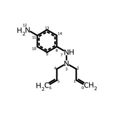 C=CCN(CC=C)Nc1ccc(N)cc1